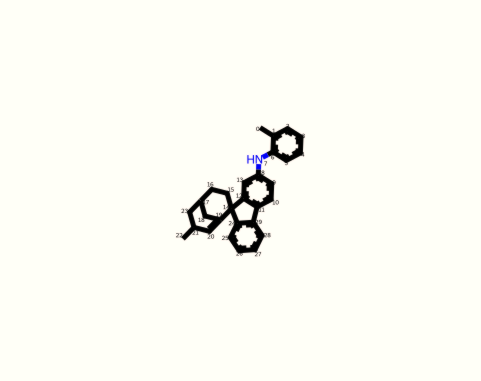 Cc1ccccc1Nc1ccc2c(c1)C1(CCC3CC1=CC(C)C3)c1ccccc1-2